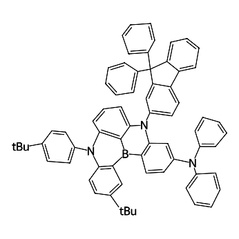 CC(C)(C)c1ccc(N2c3ccc(C(C)(C)C)cc3B3c4ccc(N(c5ccccc5)c5ccccc5)cc4N(c4ccc5c(c4)C(c4ccccc4)(c4ccccc4)c4ccccc4-5)c4cccc2c43)cc1